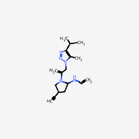 C#CC1CC(NC=C)N(C(=C)Cn2nnc(C(C)C)c2C)C1